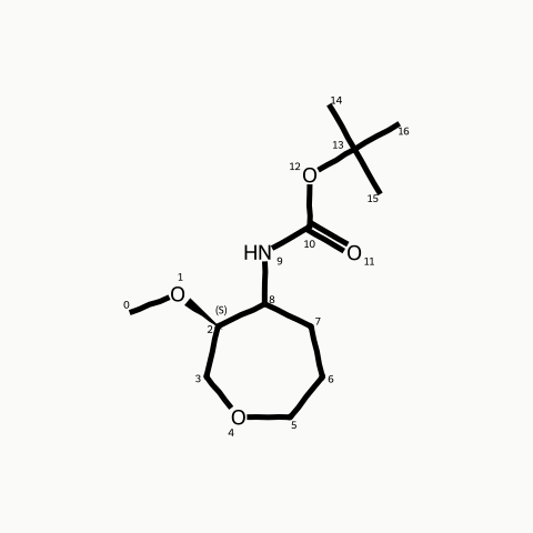 CO[C@@H]1COCCCC1NC(=O)OC(C)(C)C